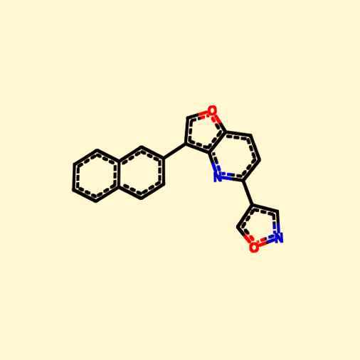 c1ccc2cc(-c3coc4ccc(-c5cnoc5)nc34)ccc2c1